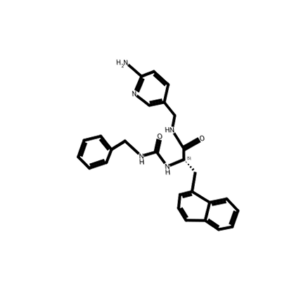 Nc1ccc(CNC(=O)[C@H](Cc2cccc3ccccc23)NC(=O)NCc2ccccc2)cn1